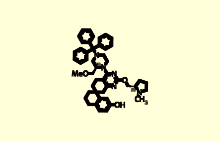 COC[C@H]1CN(C(c2ccccc2)(c2ccccc2)c2ccccc2)CCN1c1nc(OC[C@@H]2CCCN2C)nc2c1CCC1(CCCc3ccc(O)cc31)C2